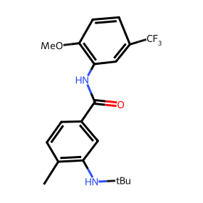 COc1ccc(C(F)(F)F)cc1NC(=O)c1ccc(C)c(NC(C)(C)C)c1